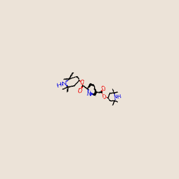 CC1(C)CC(OC(=O)c2ccc(C(=O)OC3CC(C)(C)NC(C)(C)C3)nc2)CC(C)(C)N1